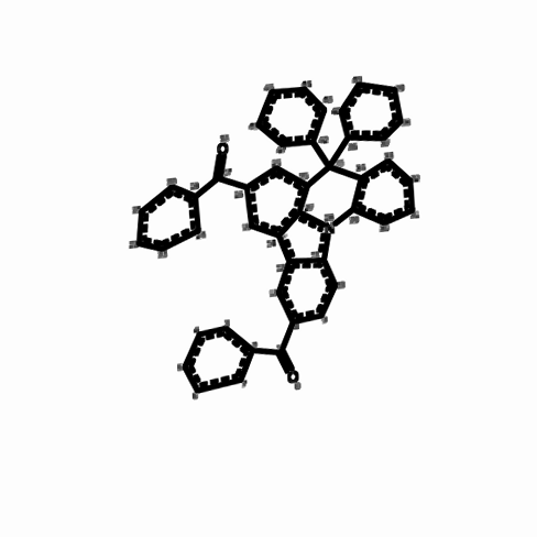 O=C(c1ccccc1)c1ccc2c(c1)c1cc(C(=O)c3ccccc3)cc3c1n2-c1ccccc1C3(c1ccccc1)c1ccccc1